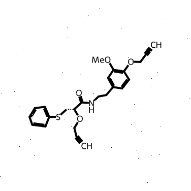 C#CCOc1ccc(CCNC(=O)[C@@H](CSc2ccccc2)OCC#C)cc1OC